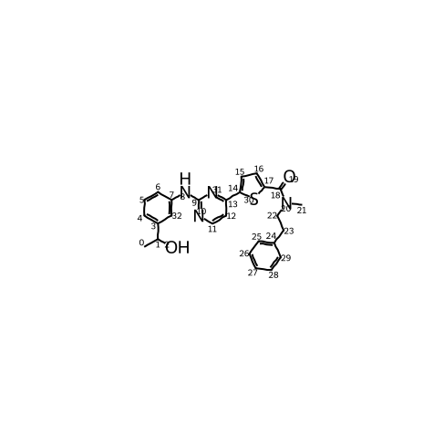 CC(O)c1cccc(Nc2nccc(-c3ccc(C(=O)N(C)CCc4ccccc4)s3)n2)c1